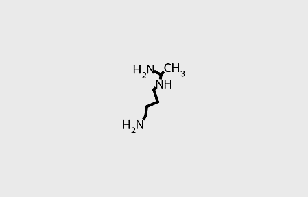 CC(N)NCCCCN